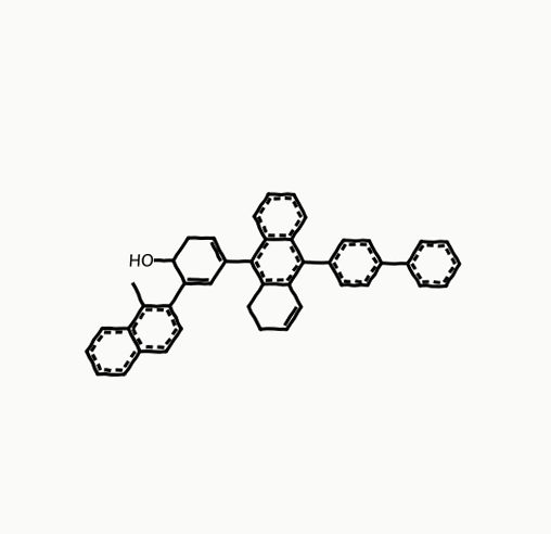 Cc1c(C2=CC(c3c4c(c(-c5ccc(-c6ccccc6)cc5)c5ccccc35)C=CCC4)=CCC2O)ccc2ccccc12